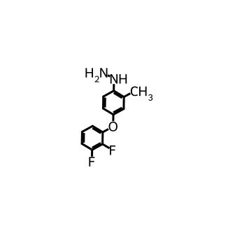 Cc1cc(Oc2cccc(F)c2F)ccc1NN